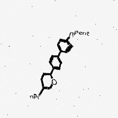 CCCCCc1ccc(-c2ccc(C3CCC(CCC)CO3)cc2)cc1